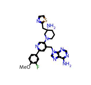 COc1ccc(-c2cc(Cn3cnc4c(N)ncnc43)c(N3CCC[C@](N)(Cc4nccs4)C3)cn2)cc1F